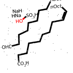 CCCCCCCC/C=C\CCCCCCCC(=O)O.CCCCCCCCCCCCCCCCCC=O.O=S(=O)(O)O.[NaH].[NaH]